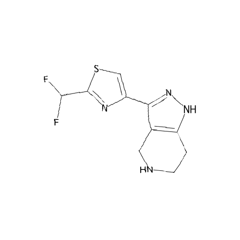 FC(F)c1nc(-c2n[nH]c3c2CNCC3)cs1